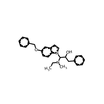 CCN(C)C(C(O)Cc1ccccc1)n1ccc2cc(OCc3ccccc3)ccc21